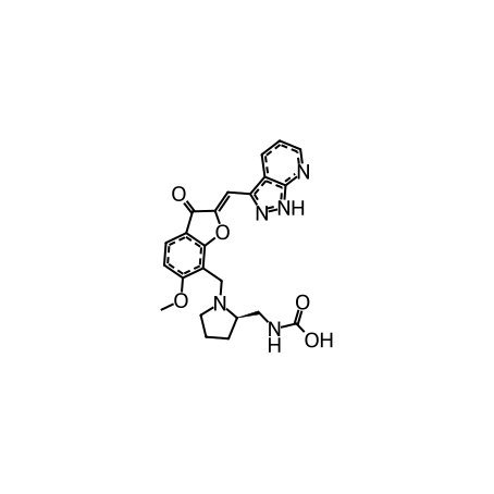 COc1ccc2c(c1CN1CCC[C@@H]1CNC(=O)O)O/C(=C\c1n[nH]c3ncccc13)C2=O